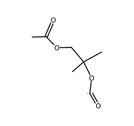 CC(=O)OCC(C)(C)O[C]=O